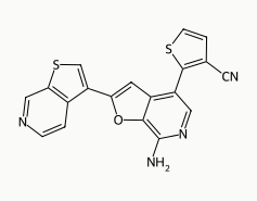 N#Cc1ccsc1-c1cnc(N)c2oc(-c3csc4cnccc34)cc12